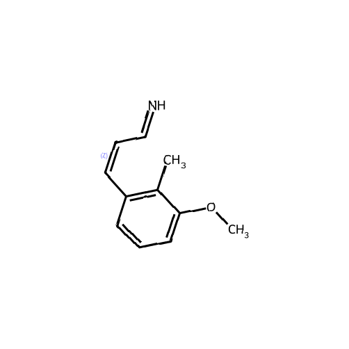 COc1cccc(/C=C\C=N)c1C